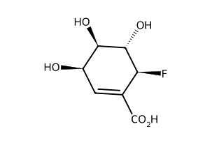 O=C(O)C1=C[C@@H](O)[C@@H](O)[C@H](O)[C@H]1F